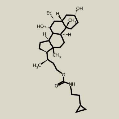 CC[C@H]1[C@@H](O)C2[C@@H]3CC[C@H]([C@H](C)CCOC(=O)NCCC4CC4)C3(C)CC[C@@H]2[C@@]2(C)CC[C@@H](O)C[C@@H]12